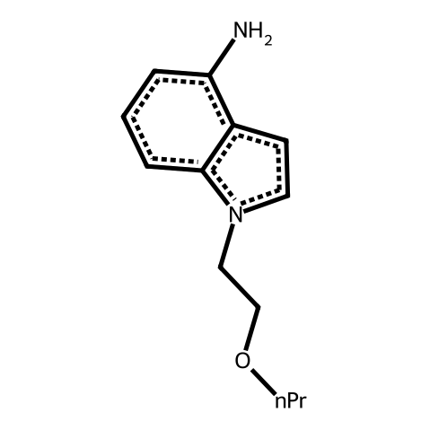 CCCOCCn1ccc2c(N)cccc21